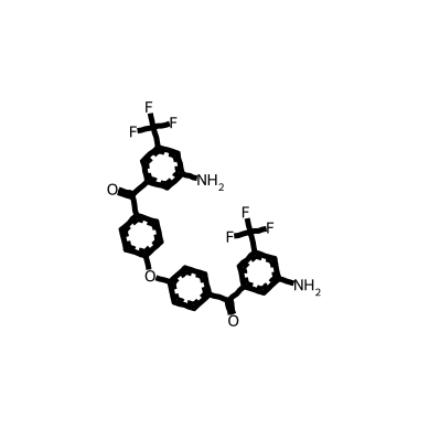 Nc1cc(C(=O)c2ccc(Oc3ccc(C(=O)c4cc(N)cc(C(F)(F)F)c4)cc3)cc2)cc(C(F)(F)F)c1